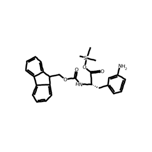 C[Si](C)(C)OC(=O)[C@H](Cc1cccc(N)c1)NC(=O)OCC1c2ccccc2-c2ccccc21